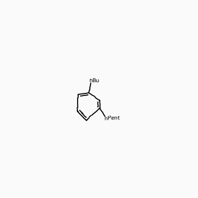 CCCCCc1cccc(CCCC)c1